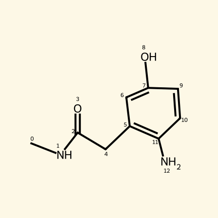 CNC(=O)Cc1cc(O)ccc1N